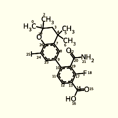 CC1(C)CC(C)(C)c2cc(-c3ccc(C(=O)O)c(F)c3C(N)=O)cc(I)c2O1